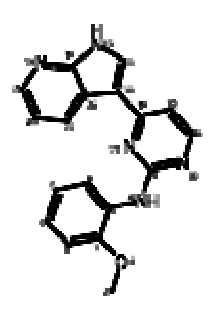 COc1ccccc1Nc1nccc(-c2c[nH]c3ncccc23)n1